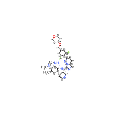 CC(=O)N(C)[C@@H]1[C@H](N)C[C@H](c2ccncc2Nc2ncc3ccc(-c4c(F)cc(COC5CCOCC5)cc4F)nn23)C[C@@H]1C